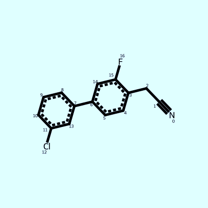 N#CCc1ccc(-c2cccc(Cl)c2)cc1F